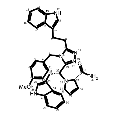 COc1ccc(Cn2c(CCc3c[nH]c4ccccc34)nnc2[C@@H](Cc2c[nH]c3ccccc23)N2CC=C[C@H]2C(N)=O)cc1